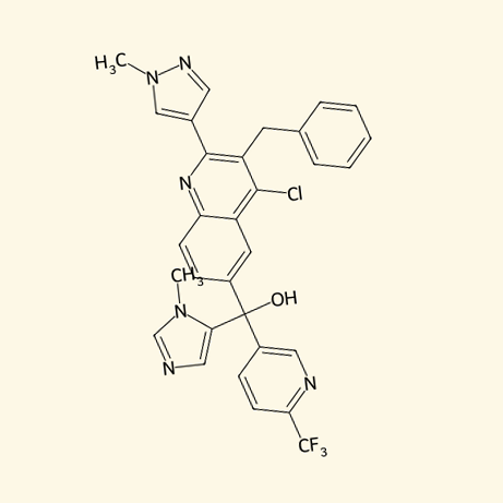 Cn1cc(-c2nc3ccc(C(O)(c4ccc(C(F)(F)F)nc4)c4cncn4C)cc3c(Cl)c2Cc2ccccc2)cn1